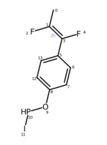 C/C(F)=C(\F)c1ccc(OPI)cc1